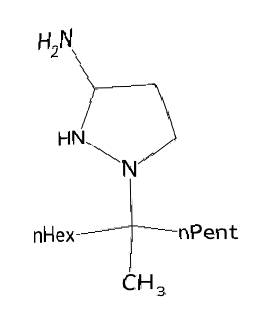 CCCCCCC(C)(CCCCC)N1CCC(N)N1